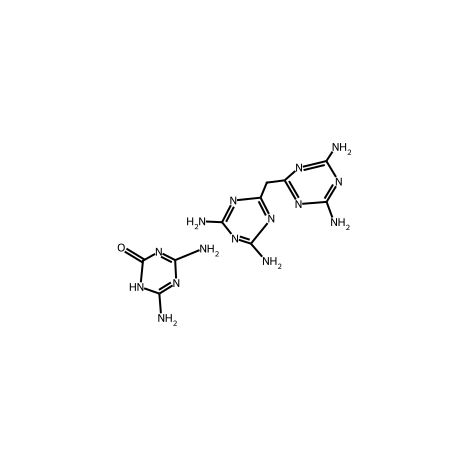 Nc1nc(N)[nH]c(=O)n1.Nc1nc(N)nc(Cc2nc(N)nc(N)n2)n1